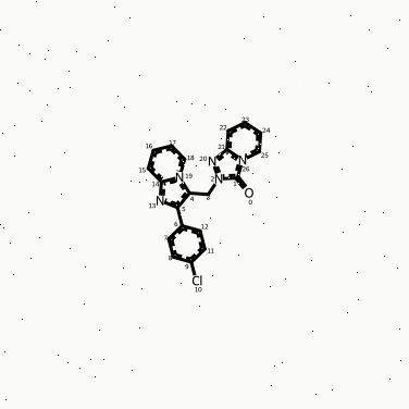 O=c1n(Cc2c(-c3ccc(Cl)cc3)nc3ccccn23)nc2ccccn12